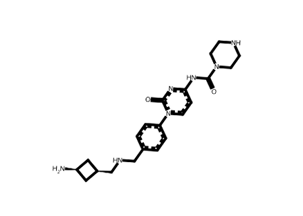 N[C@H]1C[C@@H](CNCc2ccc(-n3ccc(NC(=O)N4CCNCC4)nc3=O)cc2)C1